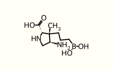 C[C@]1(CCCB(O)O)[C@@H](C(=O)O)NC[C@@H]1N